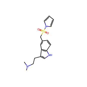 CN(C)CCc1c[nH]c2ccc(CS(=O)(=O)n3cccc3)cc12